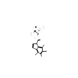 Cc1c(C)c(C)c2c(c1C)C=CC2C(=O)OCC(F)(F)S(=O)(=O)O